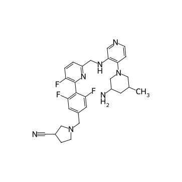 CC1CC(N)CN(c2ccncc2NCc2ccc(F)c(-c3c(F)cc(CN4CCC(C#N)C4)cc3F)n2)C1